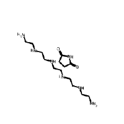 NCCNCCNCCNCCNCCN.O=C1CCC(=O)N1